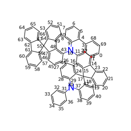 c1ccc(-c2ccccc2N(c2ccc3c(c2)C2(c4ccccc4-3)c3ccccc3N(c3ccccc3)c3ccccc32)c2cccc3c2-c2ccccc2C32c3ccccc3-c3ccccc32)cc1